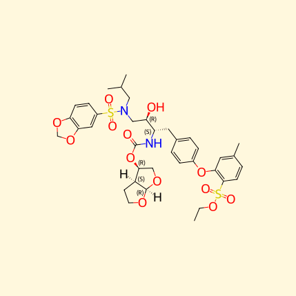 CCOS(=O)(=O)c1ccc(C)cc1Oc1ccc(C[C@H](NC(=O)O[C@H]2CO[C@H]3OCC[C@H]32)[C@H](O)CN(CC(C)C)S(=O)(=O)c2ccc3c(c2)OCO3)cc1